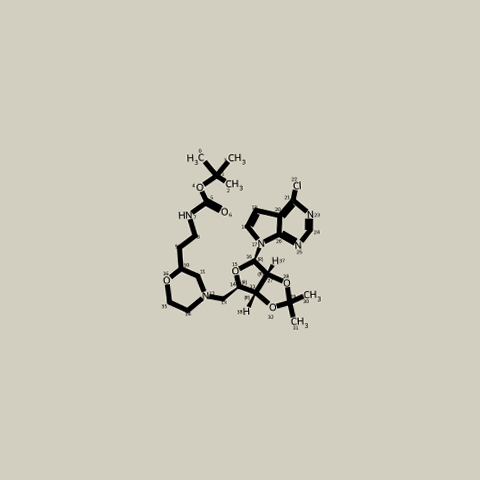 CC(C)(C)OC(=O)NCCC1CN(C[C@H]2O[C@@H](n3ccc4c(Cl)ncnc43)[C@@H]3OC(C)(C)O[C@@H]32)CCO1